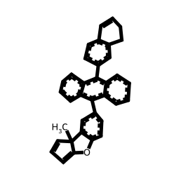 CC12C=CC=C1Oc1ccc(-c3c4ccccc4c(-c4ccc5c(c4)CCC=C5)c4ccccc34)cc12